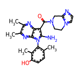 Cc1ccc(O)c(C)c1-n1c(N)c(C(=O)N2CCn3ccnc3C2)c2nc(C)c(C)nc21